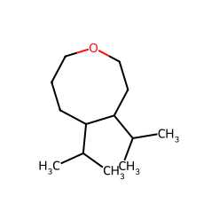 CC(C)C1CCCOCCC1C(C)C